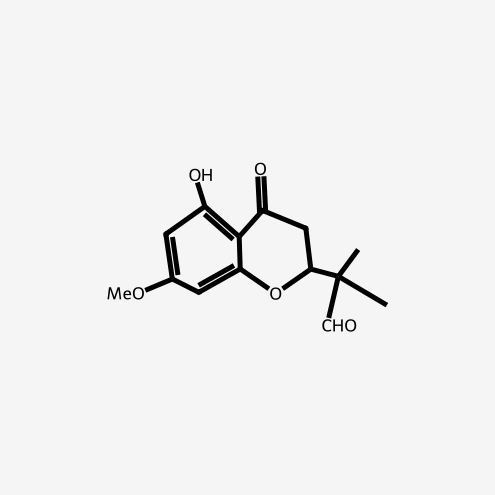 COc1cc(O)c2c(c1)OC(C(C)(C)C=O)CC2=O